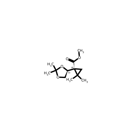 COC(=O)[C@]1([C@H]2COC(C)(C)O2)CC1(C)C